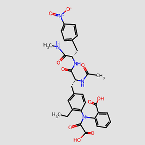 CCc1cc(C[C@@H](NC(C)=O)C(=O)N[C@@H](Cc2ccc([N+](=O)[O-])cc2)C(=O)NC)ccc1N(C(=O)C(=O)O)c1ccccc1C(=O)O